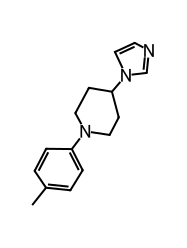 Cc1ccc(N2CCC(n3ccnc3)CC2)cc1